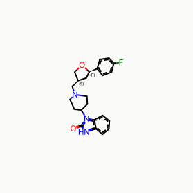 O=c1[nH]c2ccccc2n1C1CCN(C[C@H]2CO[C@@H](c3ccc(F)cc3)C2)CC1